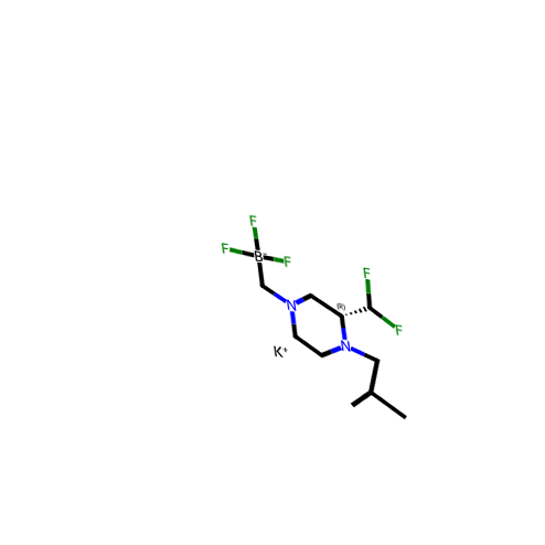 CC(C)CN1CCN(C[B-](F)(F)F)C[C@@H]1C(F)F.[K+]